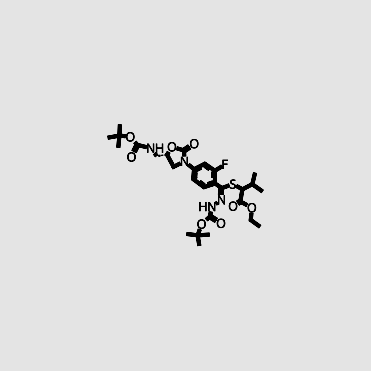 CCOC(=O)C(SC(=NNC(=O)OC(C)(C)C)c1ccc(N2C[C@H](CNC(=O)OC(C)(C)C)OC2=O)cc1F)C(C)C